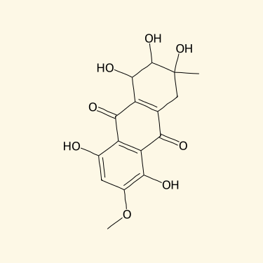 COc1cc(O)c2c(c1O)C(=O)C1=C(C2=O)C(O)C(O)C(C)(O)C1